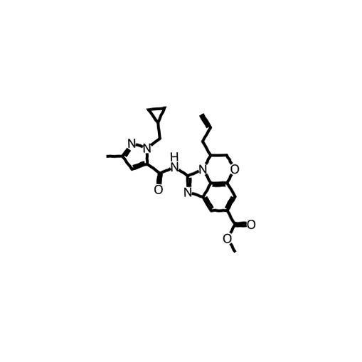 C=CCC1COc2cc(C(=O)OC)cc3nc(NC(=O)c4cc(C)nn4CC4CC4)n1c23